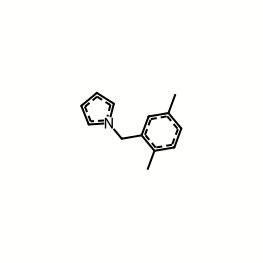 Cc1ccc(C)c(Cn2cccc2)c1